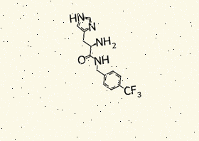 N[C@H](Cc1c[nH]cn1)C(=O)NCc1ccc(C(F)(F)F)cc1